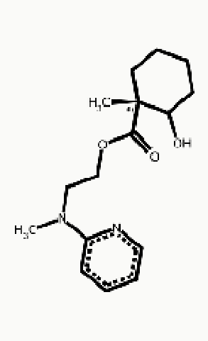 CN(CCOC(=O)[C@]1(C)CCCCC1O)c1ccccn1